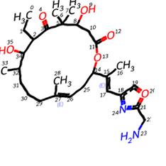 CCC1C(=O)C(C)(C)C(O)CC(=O)OC(/C(C)=C/c2coc(CN)n2)C/C=C(\C)CCCC(C)C1O